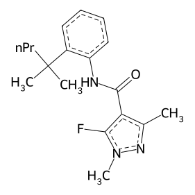 CCCC(C)(C)c1ccccc1NC(=O)c1c(C)nn(C)c1F